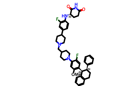 COc1cc(N2CCC(CN3CCC(c4ccc(N[C@H]5CCC(=O)NC5=O)c(F)c4)CC3)CC2)c(F)cc1[C@@H]1c2ccc(O)cc2CC[C@@H]1c1ccccc1